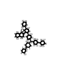 c1ccc(-c2ccc(C(c3ccc(-c4ccccc4)cc3)c3ccc(-c4ccc(-c5ccccc5)c5oc6c7ccccc7ccc6c45)cc3)cc2)cc1